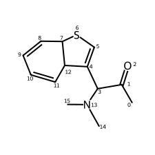 CC(=O)C(C1=CSC2C=CC=CC12)N(C)C